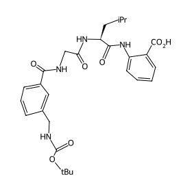 CC(C)C[C@H](NC(=O)CNC(=O)c1cccc(CNC(=O)OC(C)(C)C)c1)C(=O)Nc1ccccc1C(=O)O